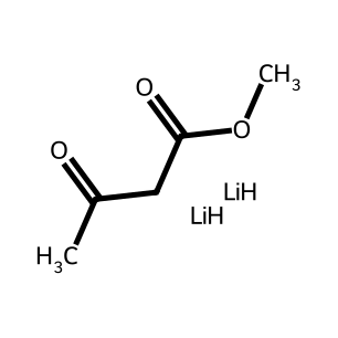 COC(=O)CC(C)=O.[LiH].[LiH]